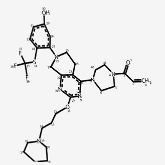 C=CC(=O)N1CCN(c2nc(OCCCN3CCCCC3)nc3c2CCN(c2cc(O)ccc2SC(F)(F)F)C3)CC1